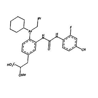 COC(Cc1ccc([As](CC(C)C)C2CCCCC2)c(NC(=O)Nc2ccc(C#N)cc2F)c1)C(=O)O